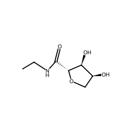 CCNC(=O)[C@H]1OC[C@H](O)[C@@H]1O